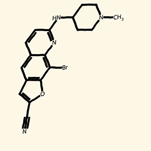 CN1CCC(Nc2ccc3cc4cc(C#N)oc4c(Br)c3n2)CC1